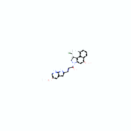 COc1cnc2[nH]c(/C=C/C(=O)N3C[C@@H](CCl)c4c3cc(O)c3cccc(C)c43)cc2c1